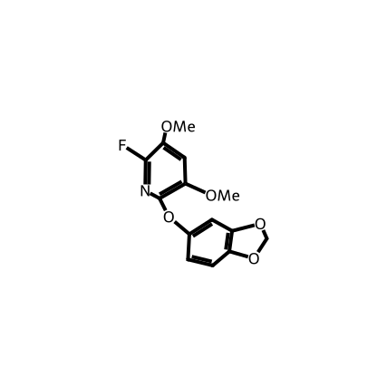 COc1cc(OC)c(Oc2ccc3c(c2)OCO3)nc1F